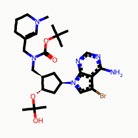 CN1C=C(CN(C[C@H]2C[C@@H](n3cc(Br)c4c(N)ncnc43)C[C@@H]2OC(C)(C)O)C(=O)OC(C)(C)C)CCC1